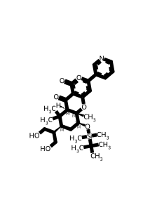 CC1(C)[C@H]2C(=O)c3c(cc(-c4cccnc4)oc3=O)O[C@]2(C)[C@@H](O[Si](C)(C)C(C)(C)C)C[C@H]1C(CO)CO